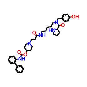 O=C(CCN1CCC(OC(=O)Nc2ccccc2-c2ccccc2)CC1)NCCCCCN(Cc1ccc(O)cc1)C(=O)C1CCCN1